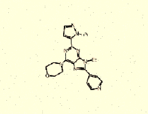 CCCn1nccc1-c1nc(N2CCOCC2)c2nc(-c3ccncc3)n(CC)c2n1